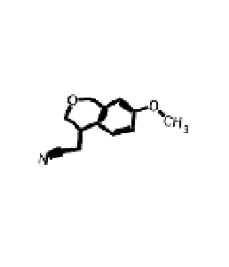 COc1ccc2c(c1)COCC2CC#N